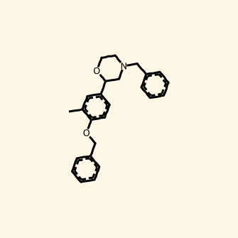 Cc1cc(C2CN(Cc3ccccc3)CCO2)ccc1OCc1ccccc1